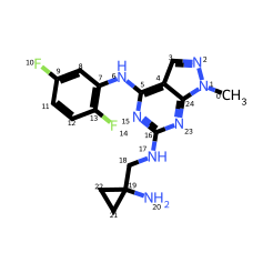 Cn1ncc2c(Nc3cc(F)ccc3F)nc(NCC3(N)CC3)nc21